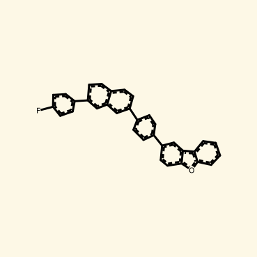 Fc1ccc(-c2ccc3ccc(-c4ccc(-c5ccc6oc7ccccc7c6c5)cc4)cc3c2)cc1